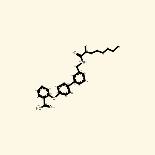 CCCCCCC(C)C(=O)NCc1cccc(-c2ccc(Oc3ccccc3C(=O)O)cc2)c1